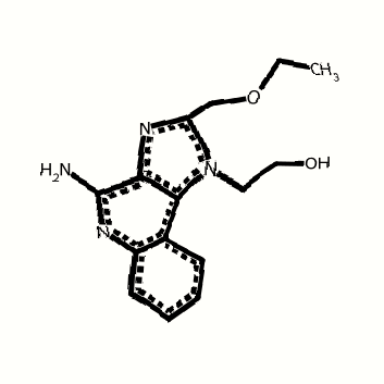 CCOCc1nc2c(N)nc3ccccc3c2n1CCO